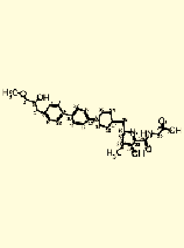 COC[C@@H](O)Cc1ccc(-c2ccc(N3CCC(Cc4nc(C)c(O)c(C(=O)NCC(=O)O)n4)CC3)cc2)cc1